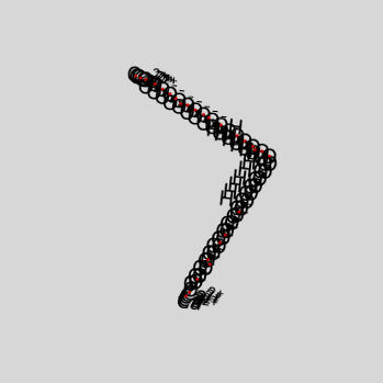 CC(=O)O.CC(=O)O.CC(=O)O.CC(=O)O.CC(=O)O.CC(=O)O.CC(=O)O.CC(=O)O.CC(=O)O.CC(=O)O.CC(=O)O.CC(=O)O.CC(=O)O.CC(=O)[O-].CC(=O)[O-].CC(=O)[O-].CC(=O)[O-].CC(=O)[O-].CC(=O)[O-].CC(=O)[O-].CC(=O)[O-].CC(=O)[O-].CC(=O)[O-].CC(=O)[O-].CC(=O)[O-].CC(=O)[O-].CC(=O)[O-].CC(=O)[O-].CC(=O)[O-].CC(=O)[O-].CC(=O)[O-].CC(=O)[O-].CC(=O)[O-].[Ca+2].[Ca+2].[Ca+2].[Ca+2].[Ca+2].[Ca+2].[Ca+2].[Ca+2].[Ca+2].[Ca+2]